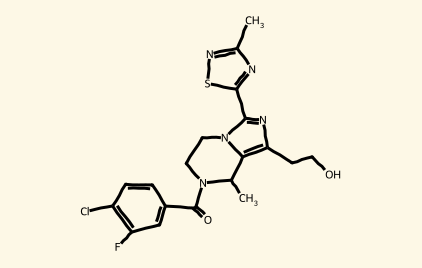 Cc1nsc(-c2nc(CCO)c3n2CCN(C(=O)c2ccc(Cl)c(F)c2)C3C)n1